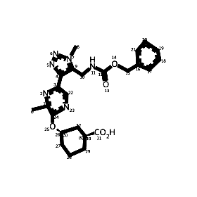 Cc1nc(-c2nnn(C)c2CNC(=O)OCc2ccccc2)cnc1O[C@H]1CCC[C@H](C(=O)O)C1